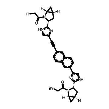 CC(C)CC(=O)N1[C@@H]2C[C@@H]2C[C@H]1c1nc(C#Cc2ccc3cc(-c4c[nH]c([C@@H]5C[C@H]6C[C@H]6N5C(=O)CC(C)C)n4)ccc3c2)c[nH]1